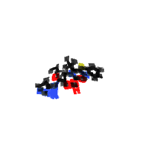 CCCC[C@@H](C(=O)C(=O)Nc1ccn[nH]1)N(C(=O)O)[C@@H](c1nc2ccccc2s1)C(C)(C)C